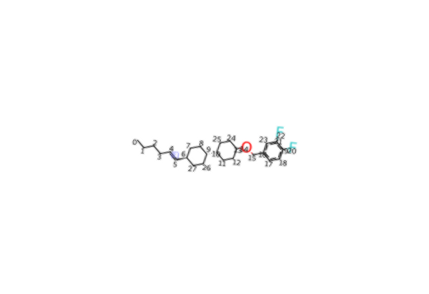 CCCC/C=C/[C@H]1CC[C@H](C2CCC(OCc3ccc(F)c(F)c3)CC2)CC1